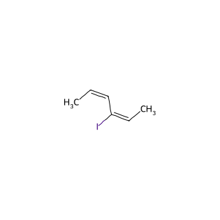 C/C=C\C(I)=C/C